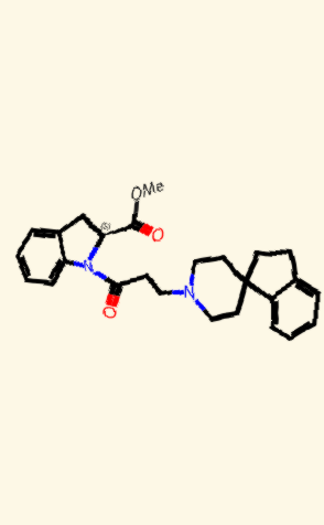 COC(=O)[C@@H]1Cc2ccccc2N1C(=O)CCN1CCC2(CCc3ccccc32)CC1